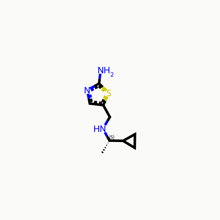 C[C@H](NCc1cnc(N)s1)C1CC1